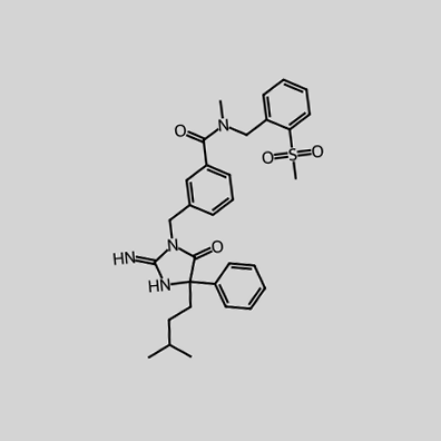 CC(C)CCC1(c2ccccc2)NC(=N)N(Cc2cccc(C(=O)N(C)Cc3ccccc3S(C)(=O)=O)c2)C1=O